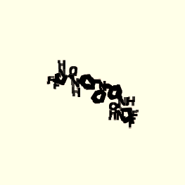 O=C(Nc1ccc(CN(Cc2ccc(NC(=O)[C@@H]3CC(F)(F)CN3)cc2)c2ccccc2)cc1)[C@@H]1CC(F)(F)CN1